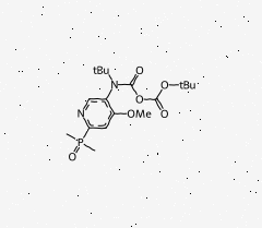 COc1cc(P(C)(C)=O)ncc1N(C(=O)OC(=O)OC(C)(C)C)C(C)(C)C